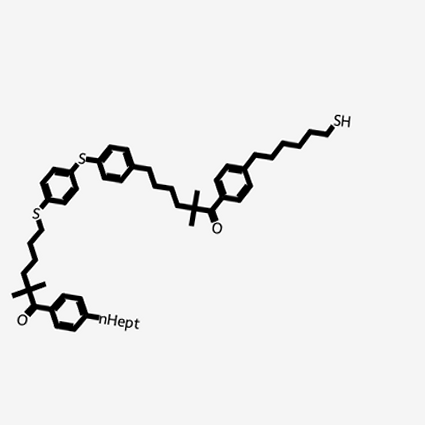 CCCCCCCc1ccc(C(=O)C(C)(C)CCCCSc2ccc(Sc3ccc(CCCCC(C)(C)C(=O)c4ccc(CCCCCCS)cc4)cc3)cc2)cc1